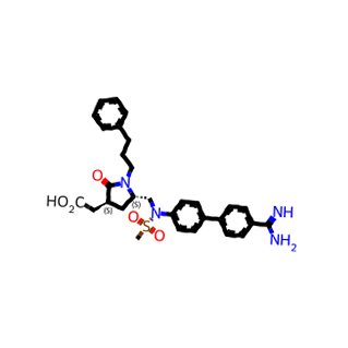 CS(=O)(=O)N(C[C@@H]1C[C@@H](CC(=O)O)C(=O)N1CCCc1ccccc1)c1ccc(-c2ccc(C(=N)N)cc2)cc1